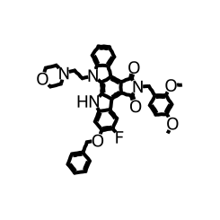 COc1ccc(CN2C(=O)c3c(c4c5ccccc5n(CCN5CCOCC5)c4c4[nH]c5cc(OCc6ccccc6)c(F)cc5c34)C2=O)c(OC)c1